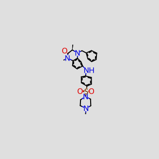 C[C@@H]1C(=O)N(C)c2ccc(Nc3ccc(S(=O)(=O)N4CCN(C)CC4)cc3)cc2N1Cc1ccccc1